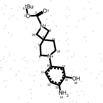 CC(C)(C)OC(=O)N1CC2(CCN(c3ccc(N)c(O)c3)CC2)C1